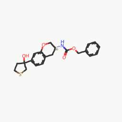 O=C(N[C@H]1COc2cc(C3(O)CCSC3)ccc2C1)OCc1ccccc1